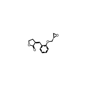 O=C1OCCC1=Cc1ccccc1OC[C@H]1CO1